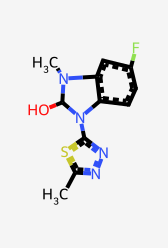 Cc1nnc(N2c3ccc(F)cc3N(C)C2O)s1